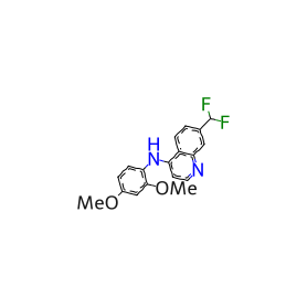 COc1ccc(Nc2ccnc3cc(C(F)F)ccc23)c(OC)c1